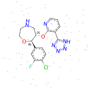 Fc1cc([C@H]2OCCNC[C@@H]2Oc2ncccc2-c2nnn[nH]2)ccc1Cl